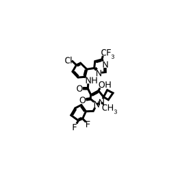 CN1N(Cc2cccc(F)c2F)C(=O)C(C(=O)Nc2ccc(Cl)cc2-c2cc(C(F)(F)F)ncn2)=C(O)C12CCC2